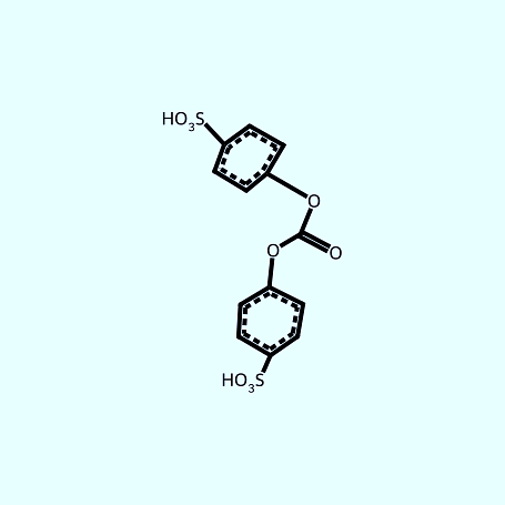 O=C(Oc1ccc(S(=O)(=O)O)cc1)Oc1ccc(S(=O)(=O)O)cc1